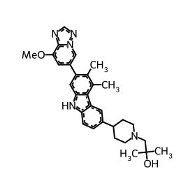 COc1cc(-c2cc3[nH]c4ccc(C5CCN(CC(C)(C)O)CC5)cc4c3c(C)c2C)cn2ncnc12